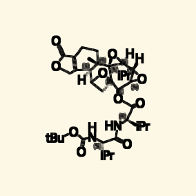 CC(C)[C@H](NC(=O)OC(C)(C)C)C(=O)N[C@@H](C(=O)O[C@@H]1[C@@]2(C(C)C)O[C@H]2[C@@H]2O[C@@]23[C@@]2(C)CCC4=C(COC4=O)[C@@H]2C2C[C@@]13O2)C(C)C